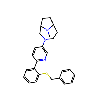 CN1C2CCC1CN(c1ccc(-c3ccccc3SCc3ccccc3)nc1)CC2